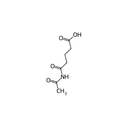 CC(=O)NC(=O)CCCC(=O)O